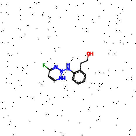 OCCc1ccccc1NN1N=C(F)C=[C]N1